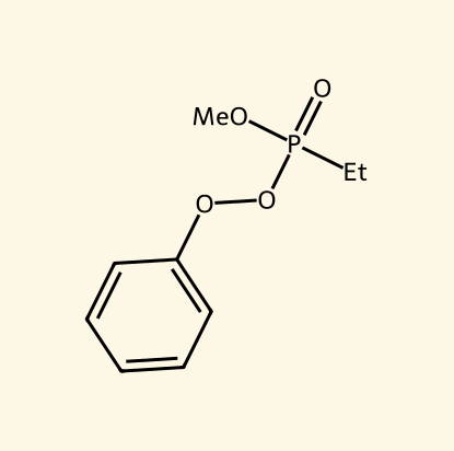 CCP(=O)(OC)OOc1ccccc1